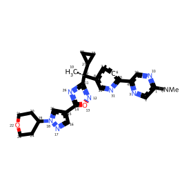 CNc1cnc(-c2ccc([C@@](C)(c3noc(-c4cnn(C5CCOCC5)c4)n3)C3CC3)cn2)cn1